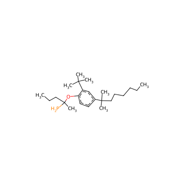 CCCCCCC(C)(C)c1ccc(OC(C)(P)CCC)c(C(C)(C)C)c1